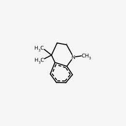 CN1[CH]CC(C)(C)c2ccccc21